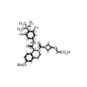 COc1ccc2c(c1)CCN(C(=O)N1CC(OCC(=O)O)C1)C2C(=O)Nc1cc(F)c([Si](C)(C)C)c(F)c1